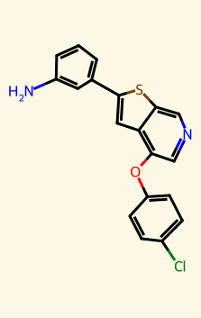 Nc1cccc(-c2cc3c(Oc4ccc(Cl)cc4)cncc3s2)c1